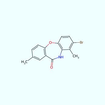 Cc1ccc2c(c1)C(=O)Nc1c(ccc(Br)c1C)O2